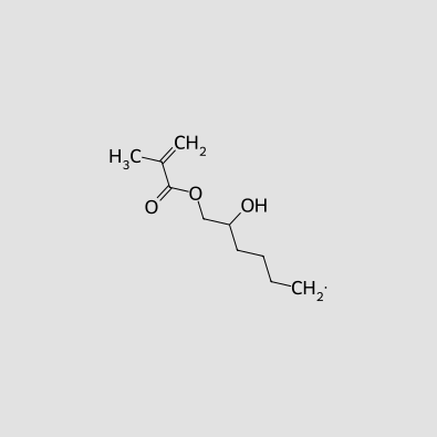 [CH2]CCCC(O)COC(=O)C(=C)C